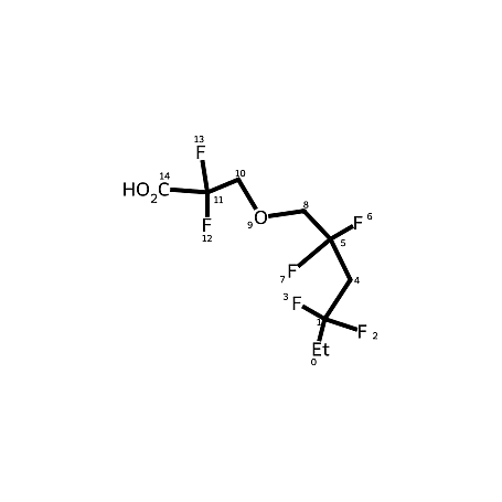 CCC(F)(F)CC(F)(F)COCC(F)(F)C(=O)O